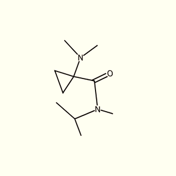 CC(C)N(C)C(=O)C1(N(C)C)CC1